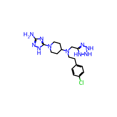 Nc1n[nH]c(N2CCC(N(CCc3ccc(Cl)cc3)CC3=NNNN3)CC2)n1